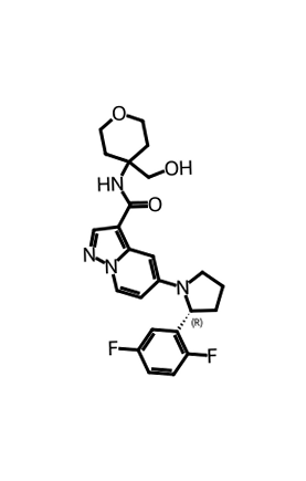 O=C(NC1(CO)CCOCC1)c1cnn2ccc(N3CCC[C@@H]3c3cc(F)ccc3F)cc12